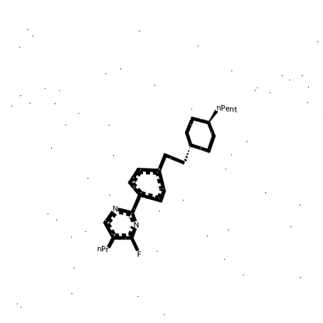 CCCCC[C@H]1CC[C@H](CCc2ccc(-c3ncc(CCC)c(F)n3)cc2)CC1